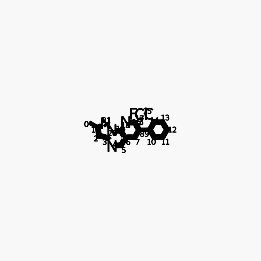 Cc1cc2ncc3cc(-c4ccccc4C(F)(F)F)c(Cl)nc3n2n1